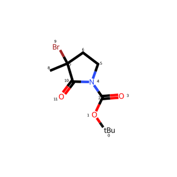 CC(C)(C)OC(=O)N1CCC(C)(Br)C1=O